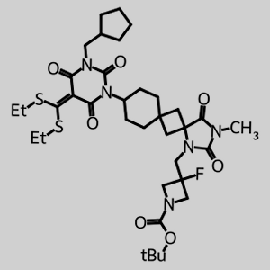 CCSC(SCC)=C1C(=O)N(CC2CCCC2)C(=O)N(C2CCC3(CC2)CC2(C3)C(=O)N(C)C(=O)N2CC2(F)CN(C(=O)OC(C)(C)C)C2)C1=O